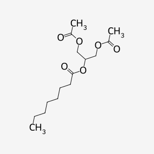 CCCCCCCC(=O)OC(COC(C)=O)COC(C)=O